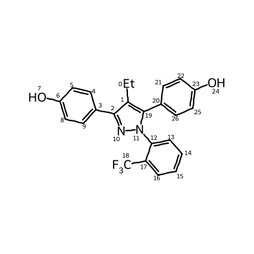 CCc1c(-c2ccc(O)cc2)nn(-c2ccccc2C(F)(F)F)c1-c1ccc(O)cc1